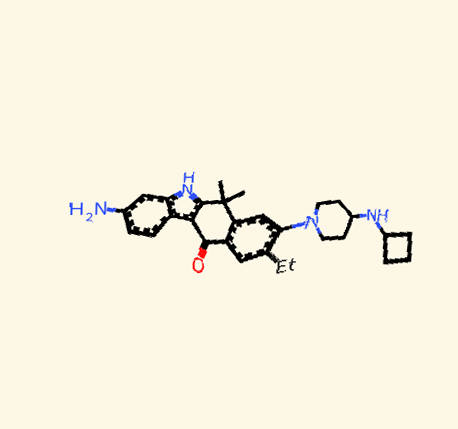 CCc1cc2c(cc1N1CCC(NC3CCC3)CC1)C(C)(C)c1[nH]c3cc(N)ccc3c1C2=O